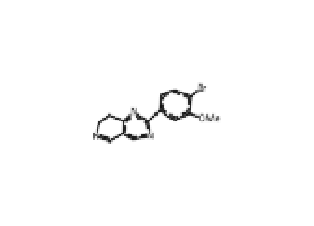 COc1cc(-c2ncc3c(n2)CCN=C3)ccc1Br